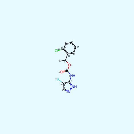 CC(OC(=O)Nc1[nH]ncc1F)c1ccccc1Cl